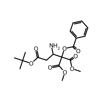 COC(=O)C(OC(=O)c1ccccc1)(C(=O)OC)C(N)CC(=O)OC(C)(C)C